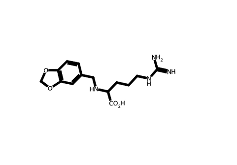 N=C(N)NCCCC(NCc1ccc2c(c1)OCO2)C(=O)O